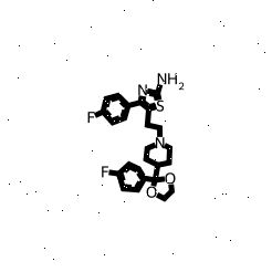 Nc1nc(-c2ccc(F)cc2)c(CCN2CCC(C3(c4ccc(F)cc4)OCCO3)CC2)s1